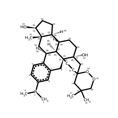 CN(C)c1ccc2c(c1)C[C@]13CCC4(CC(C)(C)COO4)C[C@]1(O)CC[C@@H]1[C@@H]3[C@@H]2C[C@]2(C)[C@@H](O)CC[C@@H]12